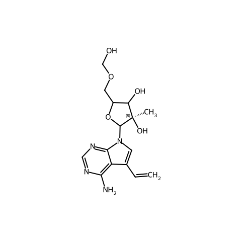 C=Cc1cn(C2OC(COCO)C(O)[C@@]2(C)O)c2ncnc(N)c12